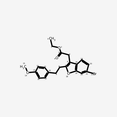 CCOC(=O)Cc1c(CCc2ccc(OC)cc2)oc2cc(Br)ccc12